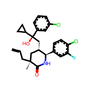 C=CC[C@@]1(C)C[C@H](C[C@@](O)(c2cccc(Cl)c2)C2CC2)[C@@H](c2ccc(Cl)c(F)c2)NC1=O